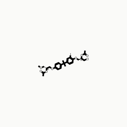 COC[C@H](COc1ccc(C(C)(C)c2ccc(OC[C@H](CCl)OC(C)=O)c(I)c2)cc1)OC(C)=O